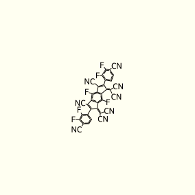 N#CC(C#N)=C1C(c2ccc(C#N)c(F)c2F)=C(C#N)c2c(F)c3c(c(F)c21)C(=C(C#N)C#N)C(c1ccc(C#N)c(F)c1F)=C3C#N